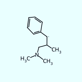 CC([CH]c1ccccc1)CN(C)C